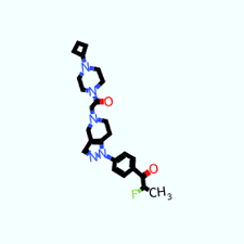 CC(F)C(=O)c1ccc(-n2ncc3c2CCN(CC(=O)N2CCN(C4CCC4)CC2)C3)cc1